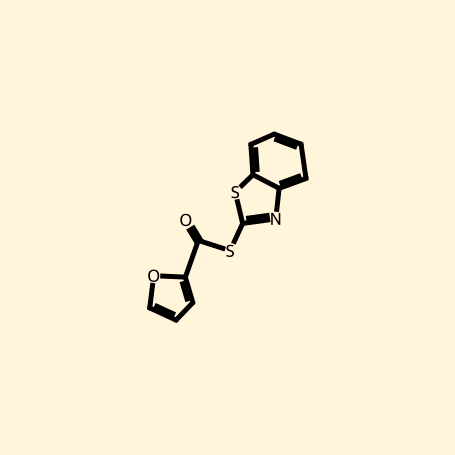 O=C(Sc1nc2ccccc2s1)c1ccco1